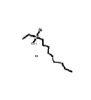 CCCCCCCCC[N+](O)(O)CC.[Cl-]